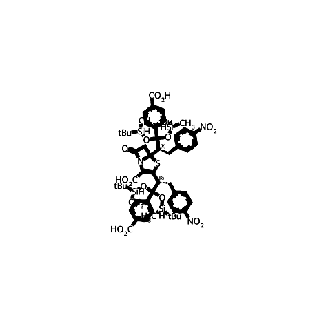 C[SiH](OC(O[SiH](C)C(C)(C)C)(c1ccc(C(=O)O)cc1)[C@@H](Cc1ccc([N+](=O)[O-])cc1)C12CC(=O)N1C(C(=O)O)=C([C@H](Cc1ccc([N+](=O)[O-])cc1)C(O[SiH](C)C(C)(C)C)(O[SiH](C)C(C)(C)C)c1ccc(C(=O)O)cc1)S2)C(C)(C)C